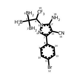 BC(B)(B)C(n1nc(-c2ccc(Br)cc2)c(C#N)c1N)C(F)(F)F